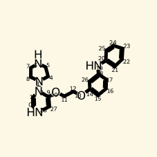 C1=CN(N2CCNCC2)C(OCCOc2cccc(Nc3ccccc3)c2)=CN1